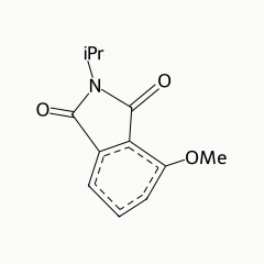 COc1cccc2c1C(=O)N(C(C)C)C2=O